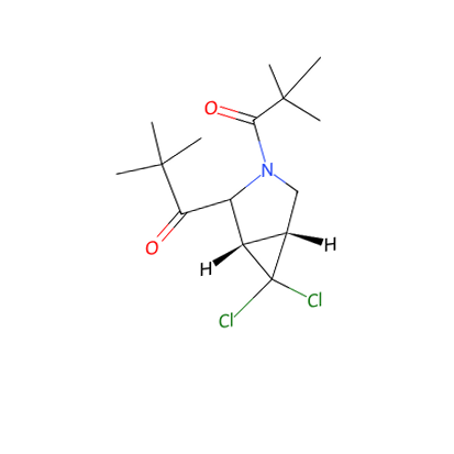 CC(C)(C)C(=O)C1[C@@H]2[C@H](CN1C(=O)C(C)(C)C)C2(Cl)Cl